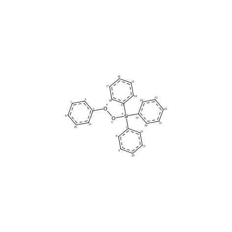 c1ccc(OO[Si](c2ccccc2)(c2ccccc2)c2ccccc2)cc1